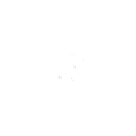 CC[N](CC)[Zr]([C]1=[C]([Ge]([CH3])([CH3])[C](F)(F)F)C=CC1)([N](CC)CC)[N](CC)CC